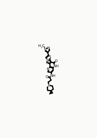 Cn1cc(-c2cn3nc4c5ncc(NC(=O)CCN6CCC7(CC6)CC7)cc5[nH]c(=O)c4c3s2)cn1